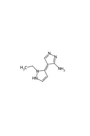 CCN1NC=CC1=C1C=NN=C1N